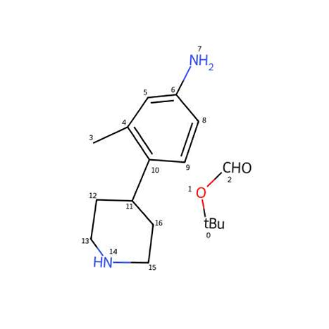 CC(C)(C)OC=O.Cc1cc(N)ccc1C1CCNCC1